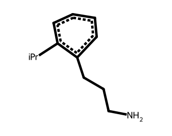 CC(C)c1ccccc1CCCN